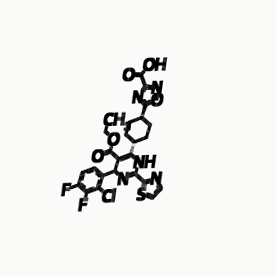 CCOC(=O)C1=C([C@H]2CC[C@H](c3nc(C(=O)O)no3)CC2)NC(c2nccs2)=NC1c1ccc(F)c(F)c1Cl